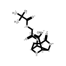 CCC(C)(C)C(=O)OCC(=O)OC1C2CC3(C(=O)OC)C(=O)OC1C3O2